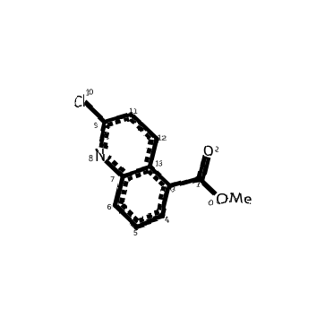 COC(=O)c1cccc2nc(Cl)ccc12